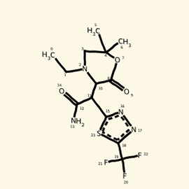 CCN1CC(C)(C)OC(=O)C1C(C(N)=O)c1nnc(C(F)(F)F)s1